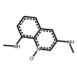 CNc1cc2cccc(NC)c2[n+]([O-])c1